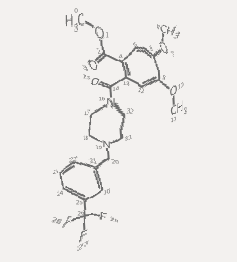 COC(=O)c1cc(OC)c(OC)cc1C(=O)N1CCN(Cc2cccc(C(F)(F)F)c2)CC1